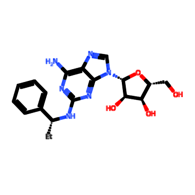 CC[C@@H](Nc1nc(N)c2ncn([C@@H]3O[C@H](CO)[C@@H](O)[C@H]3O)c2n1)c1ccccc1